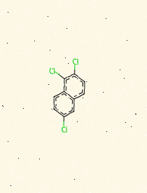 Clc1[c]cc2c(Cl)c(Cl)[c]cc2c1